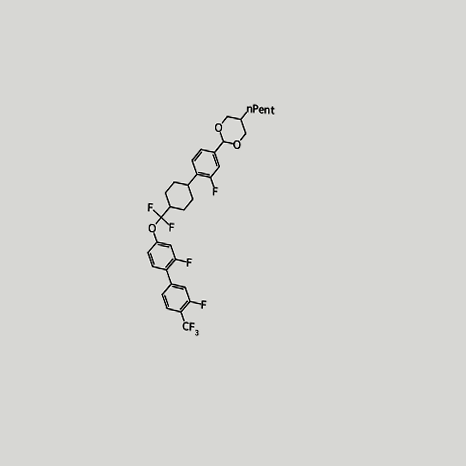 CCCCCC1COC(c2ccc(C3CCC(C(F)(F)Oc4ccc(-c5ccc(C(F)(F)F)c(F)c5)c(F)c4)CC3)c(F)c2)OC1